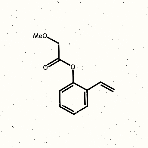 C=Cc1ccccc1OC(=O)COC